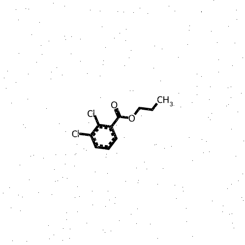 CCCOC(=O)c1cccc(Cl)c1Cl